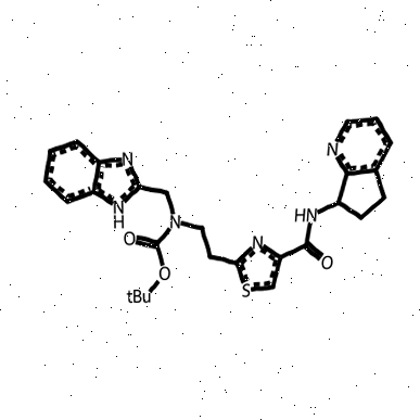 CC(C)(C)OC(=O)N(CCc1nc(C(=O)NC2CCc3cccnc32)cs1)Cc1nc2ccccc2[nH]1